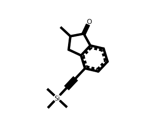 CC1Cc2c(C#C[Si](C)(C)C)cccc2C1=O